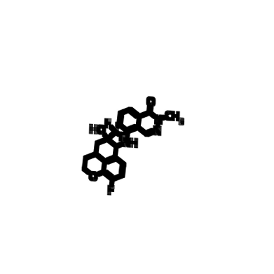 Cn1ncc2c(NC3c4ccc(F)c5c4C(CCO5)CC3(O)C(F)(F)F)cccc2c1=O